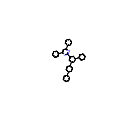 c1ccc(-c2ccc(-c3cc(-c4ccccc4)cc(-c4nc(-c5ccccc5)cc(-c5ccccc5)n4)c3)cc2)cc1